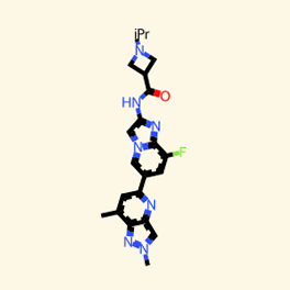 Cc1cc(-c2cc(F)c3nc(NC(=O)C4CN(C(C)C)C4)cn3c2)nc2cn(C)nc12